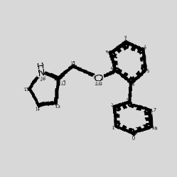 c1ccc(-c2ccccc2OCC2CCCN2)cc1